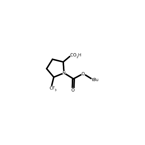 CC(C)(C)OC(=O)N1C(C(=O)O)CCC1C(F)(F)F